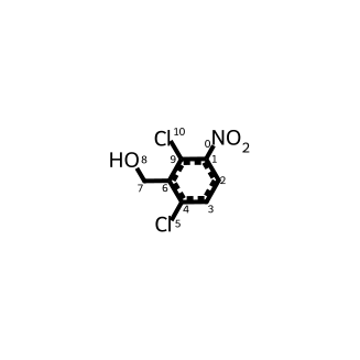 O=[N+]([O-])c1ccc(Cl)c(CO)c1Cl